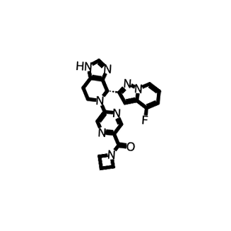 O=C(c1cnc(N2CCc3[nH]cnc3[C@@H]2c2cc3c(F)cccn3n2)cn1)N1CCC1